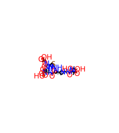 Cc1c(C(=O)NCCN2CC[C@@H](c3cc(C(=O)NC[C@@H]4[C@H](NC(=O)/C(=N\OC(C)(C)C(=O)O)c5csc(N)n5)C(=O)N4S(=O)(=O)O)on3)C2)n(O)c(C)c(O)c1=O